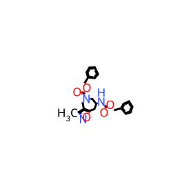 Cc1noc2c1CN(C(=O)OCc1ccccc1)C[C@@H](NC(=O)OCc1ccccc1)C2